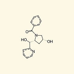 O=C(c1ccccc1)N1C[C@H](O)C[C@@H]1C(O)c1ccccn1